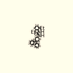 CCc1cccc(CC)c1NC(=O)NC1CCC(c2ccccc2)(c2ccccc2)CC1